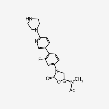 CC(=O)N(C)[C@@H]1CN(c2ccc(-c3ccc(N4CCNCC4)nc3)c(F)c2)C(=O)O1